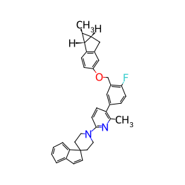 Cc1nc(N2CCC3(C=Cc4ccccc43)CC2)ccc1-c1ccc(F)c(COc2ccc3c(c2)C[C@H]2[C@H](C)[C@@H]32)c1